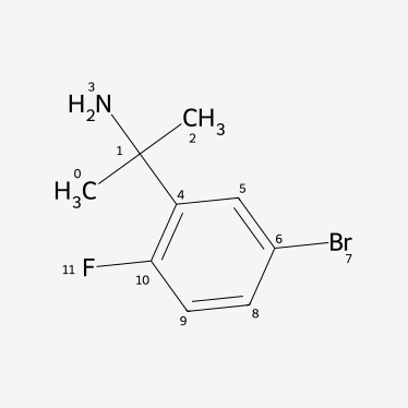 CC(C)(N)c1cc(Br)ccc1F